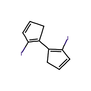 IC1=C(C2=C(I)C=CC2)CC=C1